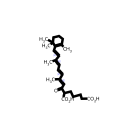 CC1=C(/C=C/C(C)=C/C=C/C(C)=C/C(=O)C(CCCCC(=O)O)C(=O)O)C(C)(C)CCC1